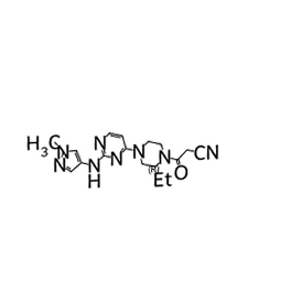 CC[C@@H]1CN(c2ccnc(Nc3cnn(C)c3)n2)CCN1C(=O)CC#N